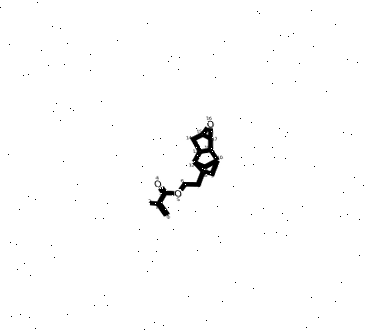 C=C(C)C(=O)OCCC1CC2CC1C1CC3OC3C21